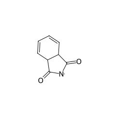 O=C1[N]C(=O)C2C=CC=CC12